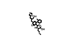 CSCCC(NC(=O)c1ccc(CC(=Cc2cncs2)CO)cc1-c1ccccc1C)C(=O)O.[LiH]